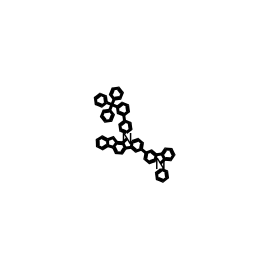 c1ccc(-n2c3ccccc3c3cc(-c4ccc5c(c4)c4ccc6c(c4n5-c4ccc(-c5cccc(C(c7ccccc7)(c7ccccc7)c7ccccc7)c5)cc4)Cc4ccccc4-6)ccc32)cc1